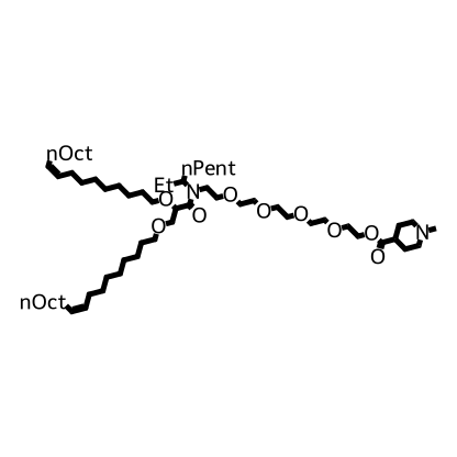 CCCCCCCC/C=C\CCCCCCCCOCC(OCCCCCCCC/C=C\CCCCCCCC)C(=O)N(CCOCCOCCOCCOCCOC(=O)C1CCN(C)CC1)C(CC)CCCCC